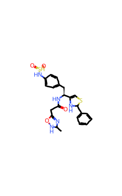 CC1N=C(CC(=O)N[C@@H](Cc2ccc(N[SH](=O)=O)cc2)C2=CSC(c3ccccc3)N2)ON1